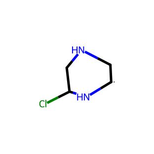 ClC1CNC[CH]N1